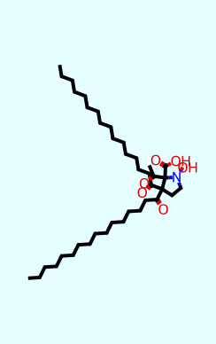 CCCCCCCCCCCCCCCC(=O)C1(C(=O)CCCCCCCCCCCCCCC)CCN(O)C1(C(C)=O)C(=O)O